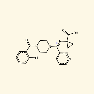 O=C(c1ccccc1Cl)N1CCN(/C(=N/C2(C(=O)O)CC2)c2cccnn2)CC1